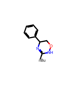 CCCCC1=NC(c2ccccc2)CON1